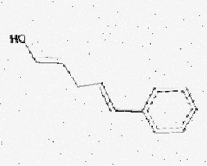 OC=CCC=Cc1ccccc1